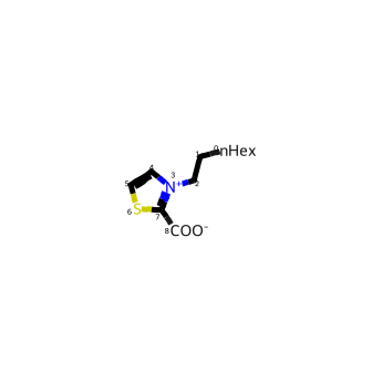 CCCCCCCC[n+]1ccsc1C(=O)[O-]